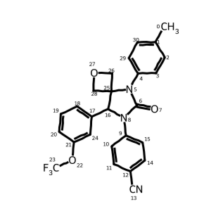 Cc1ccc(N2C(=O)N(c3ccc(C#N)cc3)C(c3cccc(OC(F)(F)F)c3)C23COC3)cc1